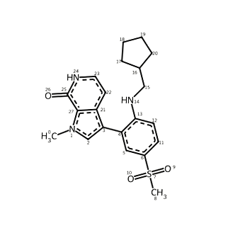 Cn1cc(-c2cc(S(C)(=O)=O)ccc2NCC2CCCC2)c2cc[nH]c(=O)c21